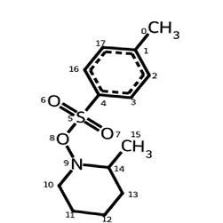 Cc1ccc(S(=O)(=O)ON2CCCCC2C)cc1